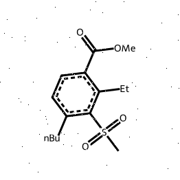 CCCCc1ccc(C(=O)OC)c(CC)c1S(C)(=O)=O